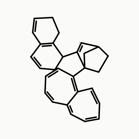 [C]1=C(C2CC=CC3=C2CCC=C3)C2(C3=C4C=CC=CC=C4C=CC=C3)CCC1C2